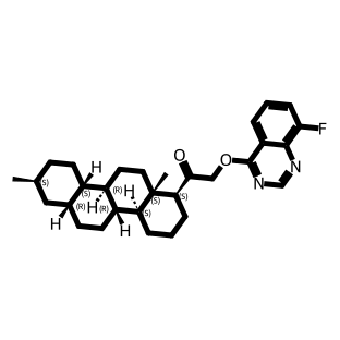 C[C@H]1CC[C@H]2[C@H](CC[C@@H]3[C@@H]2CC[C@]2(C)[C@@H](C(=O)COc4ncnc5c(F)cccc45)CCC[C@@H]32)C1